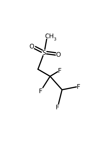 CS(=O)(=O)CC(F)(F)C(F)F